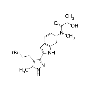 Cc1[nH]nc(-c2cc3c([nH]2)CC(N(C)C(=O)C(C)O)C=C3)c1CCC(C)(C)C